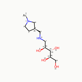 CC(=O)N1CC[C@H](CNC[C@H](O)[C@H](O)[C@H](O)CO)C1